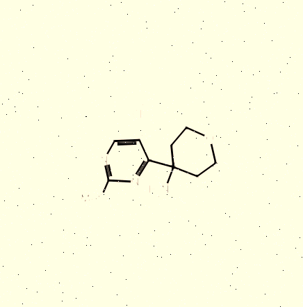 CSc1nccc(C2(N)CCOCC2)n1.Cl